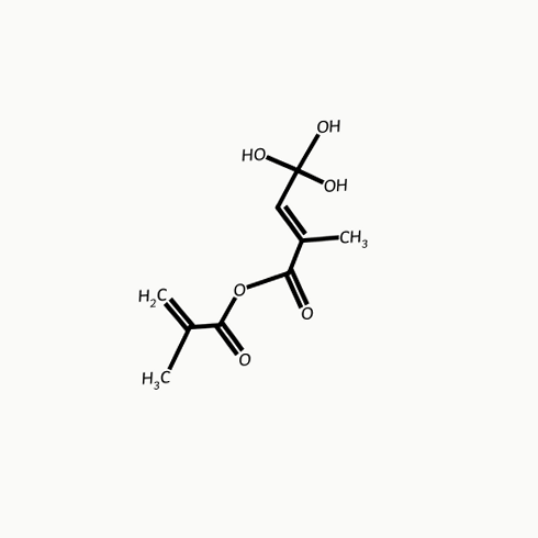 C=C(C)C(=O)OC(=O)C(C)=CC(O)(O)O